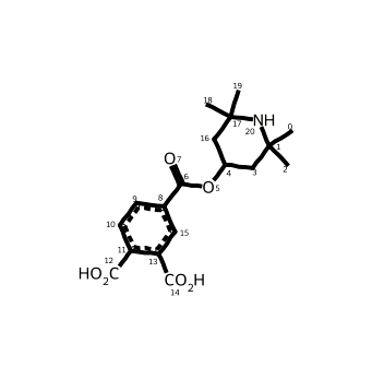 CC1(C)CC(OC(=O)c2ccc(C(=O)O)c(C(=O)O)c2)CC(C)(C)N1